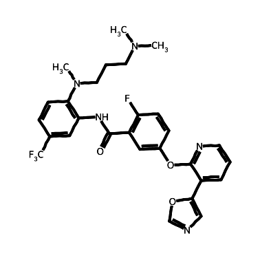 CN(C)CCCN(C)c1ccc(C(F)(F)F)cc1NC(=O)c1cc(Oc2ncccc2-c2cnco2)ccc1F